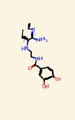 C=C/N=C(N)\C(=C/C)NCCNC(=O)c1ccc(O)c(O)c1